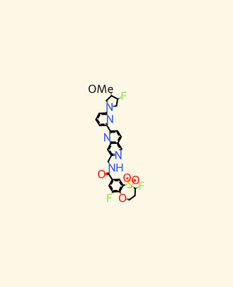 CO[C@H]1CN(c2cccc(-c3ccc4cnc(CNC(=O)c5cc(F)c6c(c5)S(=O)(=O)[C@@H](F)CCO6)cc4n3)n2)C[C@@H]1F